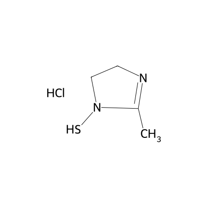 CC1=NCCN1S.Cl